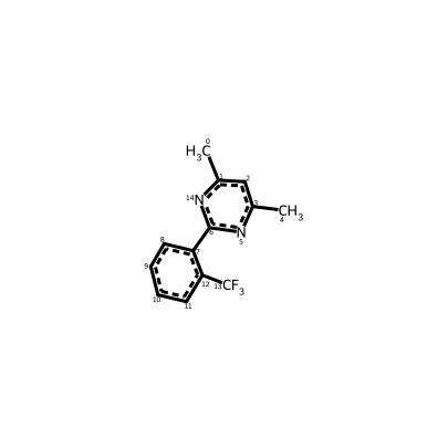 Cc1cc(C)nc(-c2ccccc2C(F)(F)F)n1